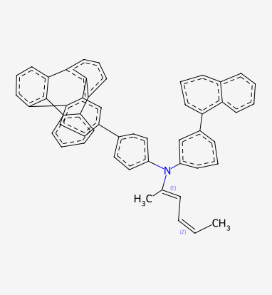 C/C=C\C=C(/C)N(c1ccc(-c2ccc3c(c2)-c2c4cccc2-c2cccc-3c2-c2ccccc2-4)cc1)c1cccc(-c2cccc3ccccc23)c1